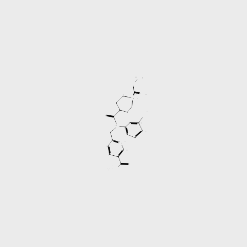 COC(=O)c1ccc(CN(C(=O)C2CCN(C(=O)OC(C)(C)C)CC2)c2cccc(F)c2)nc1